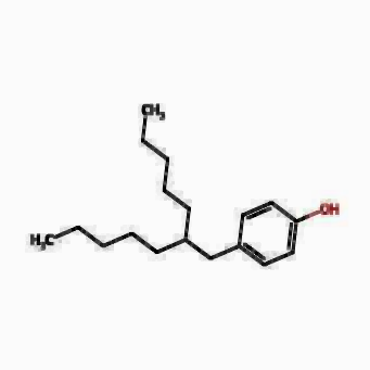 CCCCCC(CCCCC)Cc1ccc(O)cc1